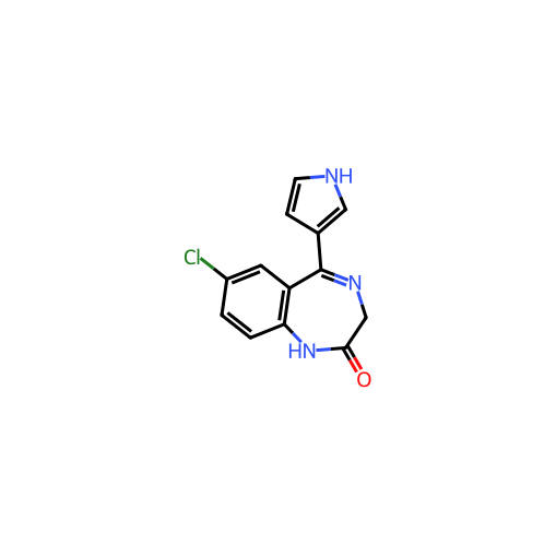 O=C1CN=C(c2cc[nH]c2)c2cc(Cl)ccc2N1